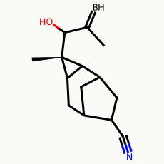 B=C(C)C(O)[C@@]1(C)C2CC3CC(CC3C#N)C21